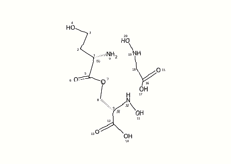 N[C@@H](CCO)C(=O)OC[C@H](NO)C(=O)O.O=C(O)CNO